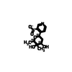 C[C@H]1O[C@@H](c2ccncc2[N+](=O)[O-])C[C@@H](O)[C@]1(C)O